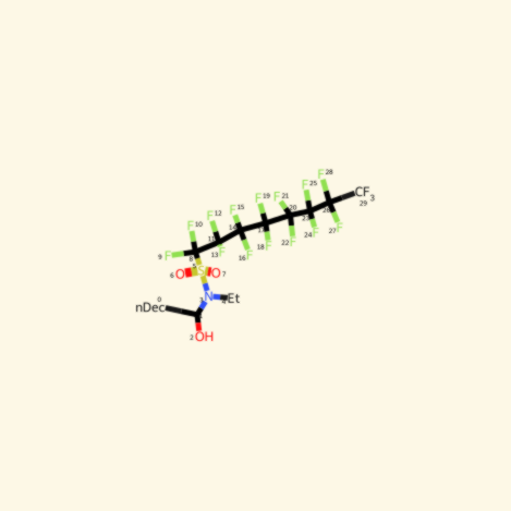 CCCCCCCCCCC(O)N(CC)S(=O)(=O)C(F)(F)C(F)(F)C(F)(F)C(F)(F)C(F)(F)C(F)(F)C(F)(F)C(F)(F)F